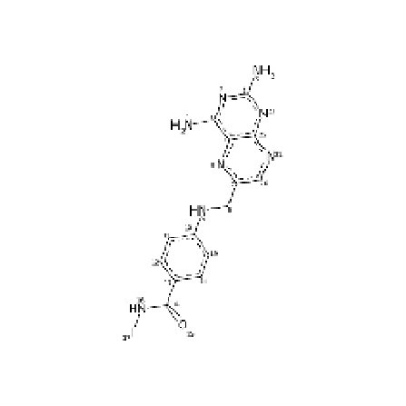 Nc1nc(N)c2nc(CNc3ccc(C(=O)NI)cc3)cnc2n1